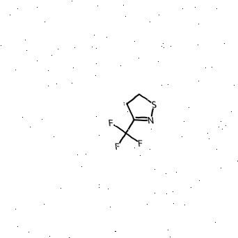 FC(F)(F)C1=NSC[C]1